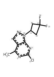 Cc1nc(Cl)nc2c1cnn2C1CC(F)(F)C1